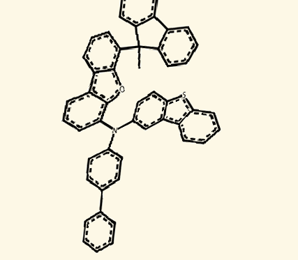 CC1(c2cccc3c2oc2c(N(c4ccc(-c5ccccc5)cc4)c4ccc5sc6ccccc6c5c4)cccc23)c2ccccc2-c2ccccc21